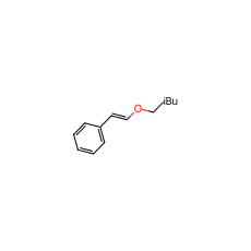 CCC(C)COC=Cc1ccccc1